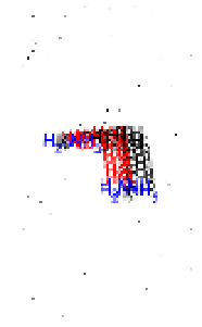 CC(=O)O.CC(=O)O.CC(=O)O.CC(=O)O.CC(=O)O.CC(=O)O.CC(=O)O.CC(=O)O.CC(=O)O.CC(=O)O.CC(=O)O.CC(=O)O.NCCN.NCCN.NCCN.[K].[K].[K]